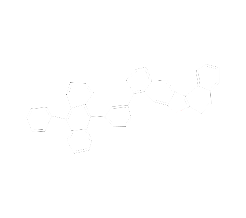 c1ccc(-c2c3ccccc3c(-c3cccc(-c4cccc5cc6c(cc45)oc4ccc5ccccc5c46)c3)c3ccccc23)cc1